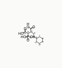 O=C(O)C(CCC1CCCCC1)C(C(=O)O)P(=O)(O)O